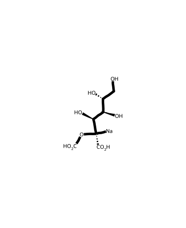 O=C(O)O[C@@]([Na])(C(=O)O)[C@@H](O)[C@H](O)[C@H](O)CO